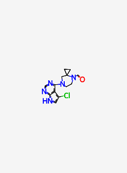 O=CN1CCN(c2ncnc3[nH]cc(Cl)c23)CC12CC2